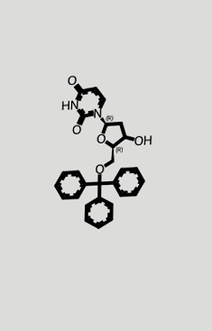 O=c1ccn([C@H]2CC(O)[C@@H](COC(c3ccccc3)(c3ccccc3)c3ccccc3)O2)c(=O)[nH]1